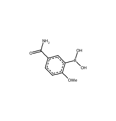 COc1ccc(C(N)=O)cc1B(O)O